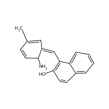 CC1=C/C(=C/c2c(O)ccc3ccccc23)C(N)C=C1